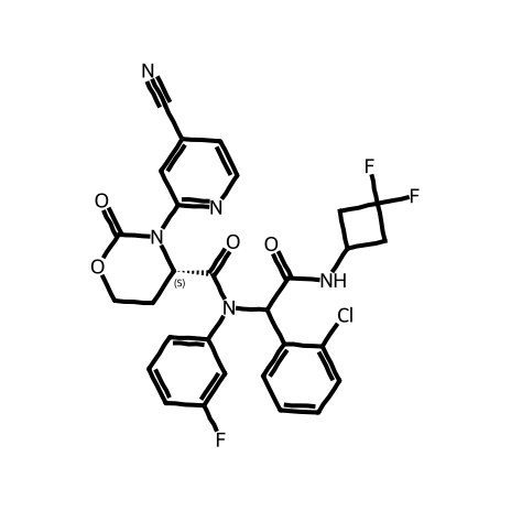 N#Cc1ccnc(N2C(=O)OCC[C@H]2C(=O)N(c2cccc(F)c2)C(C(=O)NC2CC(F)(F)C2)c2ccccc2Cl)c1